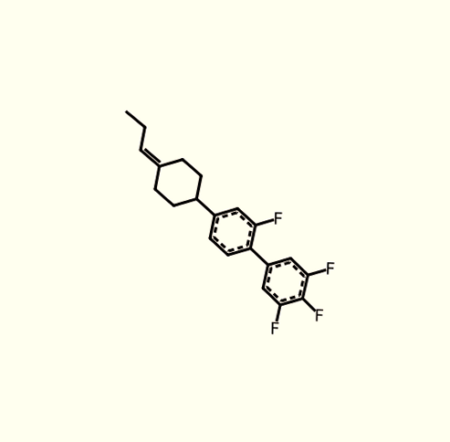 CCC=C1CCC(c2ccc(-c3cc(F)c(F)c(F)c3)c(F)c2)CC1